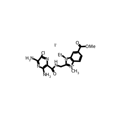 CCn1c(CNC(=O)c2nc(Cl)c(N)nc2N)[n+](C)c2ccc(C(=O)OC)cc21.[I-]